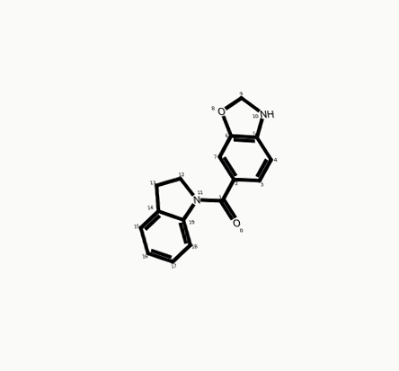 O=C(c1ccc2c(c1)OCN2)N1CCc2ccccc21